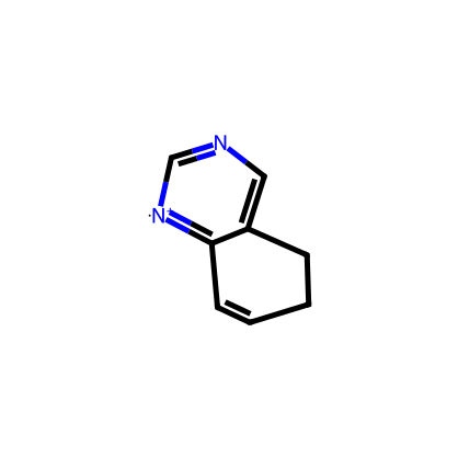 C1=CC2=[N+]C=NC=C2CC1